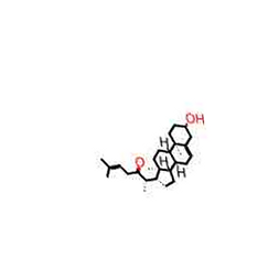 CC(C)=CCC(=O)[C@@H](C)[C@H]1CC[C@H]2[C@@H]3CC=C4CC(O)CC[C@]4(C)[C@H]3CC[C@]12C